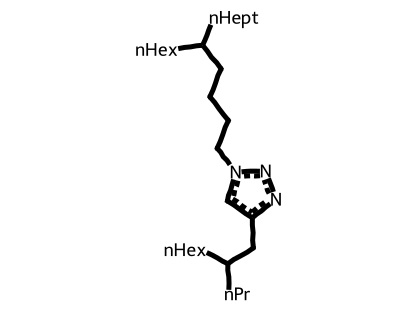 CCCCCCCC(CCCCCC)CCCCn1cc(CC(CCC)CCCCCC)nn1